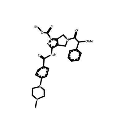 CCC(C)OC(=O)n1nc([AsH]C(=O)c2ccc(N3CCN(C)CC3)cc2)c2c1CN(C(=O)C(OC)c1ccccc1)C2